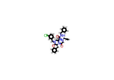 C#CCN1CC(=O)N2[C@@H](Cc3ccccc3)C(=O)N(Cc3cccc(Cl)c3)C[C@@H]2N1C(=O)NCc1ccccc1